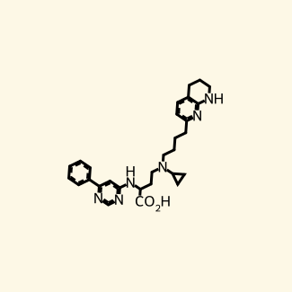 O=C(O)C(CCN(CCCCc1ccc2c(n1)NCCC2)C1CC1)Nc1cc(-c2ccccc2)ncn1